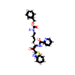 O=C(NCCCC[C@H](NC(=O)c1ccccn1)C(=O)c1nc2ccccc2s1)OCc1ccccc1